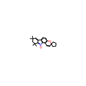 CC1(C)C=C2C(=[N+]([O-])c3c2ccc2c3C=CC3(CCCC3)O2)C(C)(C)C1